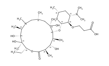 CC[C@H]1OC(=O)[C@H](C)[C@@H](O)[C@H](C)[C@@H](O[C@@H]2O[C@H](C)C[C@H](N(C)C)[C@H]2OCCC(=O)O)[C@](C)(O)C[C@@H](C)CN(C)[C@H](C)[C@@H](O)[C@]1(C)O